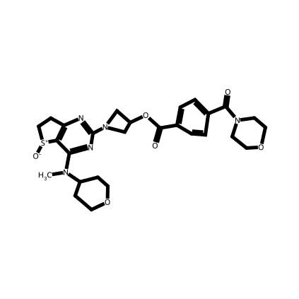 CN(c1nc(N2CC(OC(=O)c3ccc(C(=O)N4CCOCC4)cc3)C2)nc2c1[S+]([O-])CC2)C1CCOCC1